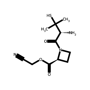 CC(C)(S)[C@H](N)C(=O)N1CC[C@H]1C(=O)OCC#N